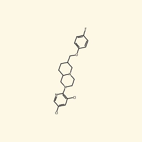 Fc1ccc(OCC2CCC3CN(c4ncc(Cl)cc4Cl)CCN3C2)cc1